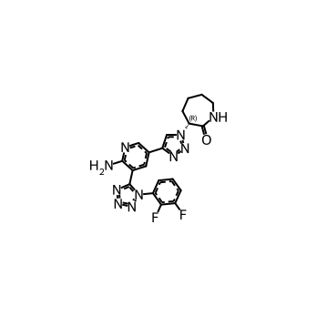 Nc1ncc(-c2cn([C@@H]3CCCCNC3=O)nn2)cc1-c1nnnn1-c1cccc(F)c1F